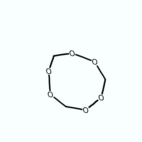 C1OOCOOCOO1